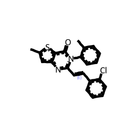 Cc1cc2nc(/C=C/c3ccccc3Cl)n(-c3ccccc3C)c(=O)c2s1